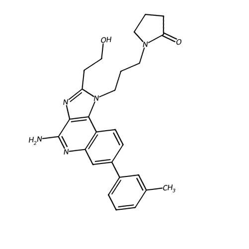 Cc1cccc(-c2ccc3c(c2)nc(N)c2nc(CCO)n(CCCN4CCCC4=O)c23)c1